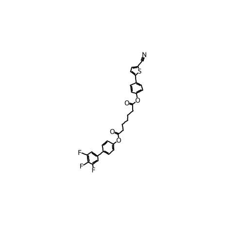 N#Cc1ccc(-c2ccc(OC(=O)CCCCCC(=O)Oc3ccc(-c4cc(F)c(F)c(F)c4)cc3)cc2)s1